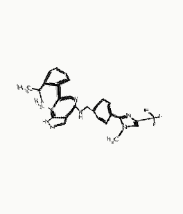 CC(C)c1ccccc1-c1nc(NCc2ccc(-c3nc(C(F)(F)F)cn3C)cc2)c2cn[nH]c2n1